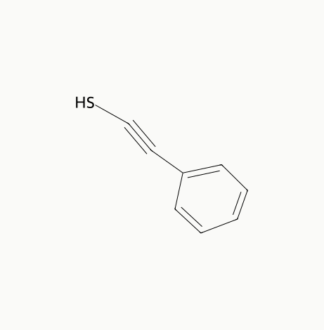 SC#Cc1ccccc1